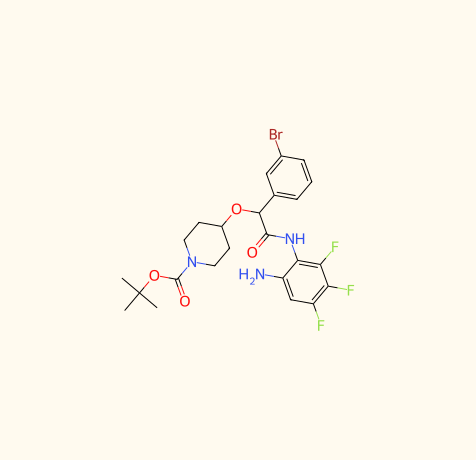 CC(C)(C)OC(=O)N1CCC(OC(C(=O)Nc2c(N)cc(F)c(F)c2F)c2cccc(Br)c2)CC1